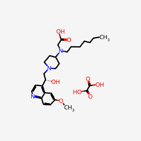 CCCCCCCN(CC(=O)O)C1CCN(C[C@H](O)c2ccnc3ccc(OC)cc23)CC1.O=C(O)C(=O)O